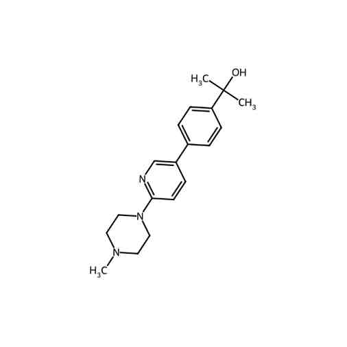 CN1CCN(c2ccc(-c3ccc(C(C)(C)O)cc3)cn2)CC1